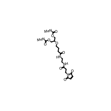 CNC(=O)OCC(COC(=O)NC)OCCCC(=O)NCCNC(=O)CCN1C(=O)C=CC1=O